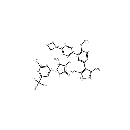 COc1ncc(-c2c(C)n[nH]c2C)cc1-c1cnc(N2CCC2)nc1CN1C(=O)O[C@H](c2cc(C)cc(C(F)(F)F)c2)[C@@H]1C